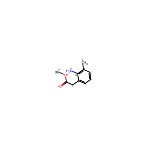 Cc1cccc(CC(=O)OC(C)(C)C)c1N